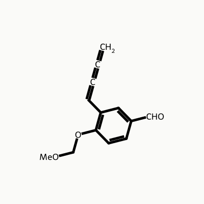 C=C=C=Cc1cc(C=O)ccc1OCOC